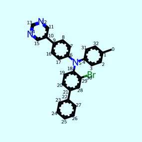 Cc1ccc(N(c2ccc(-c3cncnc3)cc2)c2ccc(-c3ccccc3)cc2Br)cc1